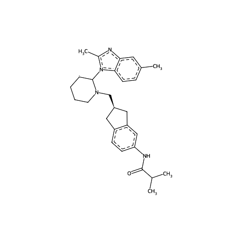 Cc1ccc2c(c1)nc(C)n2C1[CH]CCCN1C[C@@H]1Cc2ccc(NC(=O)C(C)C)cc2C1